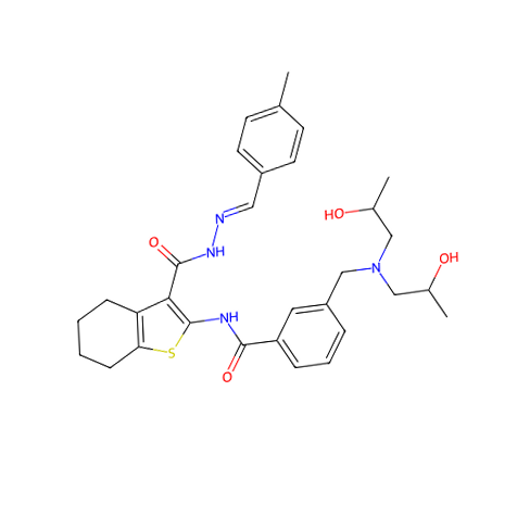 Cc1ccc(C=NNC(=O)c2c(NC(=O)c3cccc(CN(CC(C)O)CC(C)O)c3)sc3c2CCCC3)cc1